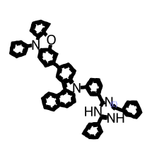 N=C(NC(/N=C/c1ccccc1)c1cccc(-n2c3ccc(-c4ccc5c(c4)Oc4ccccc4N5c4ccccc4)cc3c3c4ccccc4ccc32)c1)c1ccccc1